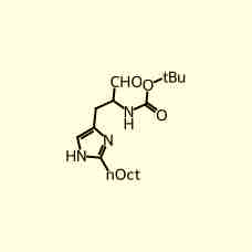 CCCCCCCCc1nc(CC(C=O)NC(=O)OC(C)(C)C)c[nH]1